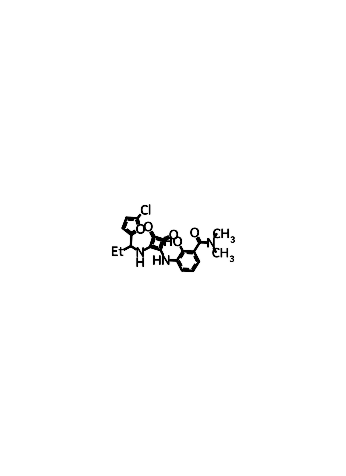 CCC(Nc1c(Nc2cccc(C(=O)N(C)C)c2O)c(=O)c1=O)c1ccc(Cl)o1